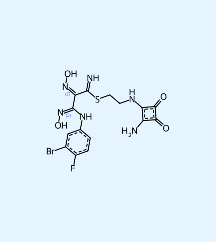 N=C(SCCNc1c(N)c(=O)c1=O)C(=N\O)/C(=N/O)Nc1ccc(F)c(Br)c1